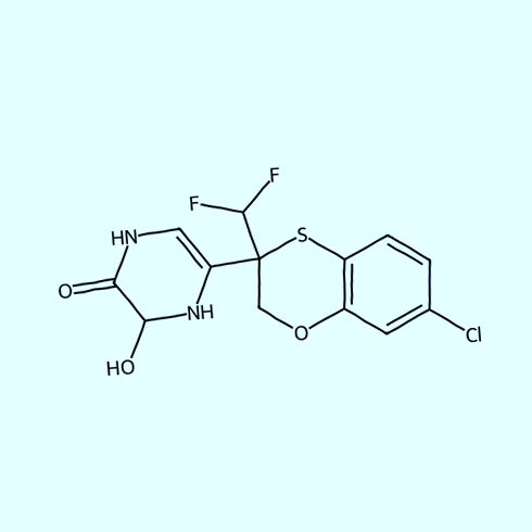 O=C1NC=C(C2(C(F)F)COc3cc(Cl)ccc3S2)NC1O